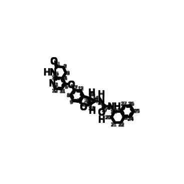 O=C1CCc2c(Oc3ccc4c(c3)[C@H]3[C@H](NC(O)N[C@H]5CCCc6ccccc65)[C@H]3O4)ccnc2N1